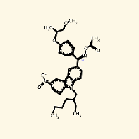 CCCCC(CC)Cn1c2ccc(/C(=N/OC(C)=O)c3ccc(OC(C)COC)cc3)cc2c2cc([N+](=O)[O-])ccc21